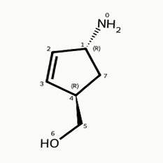 N[C@H]1C=C[C@H](CO)C1